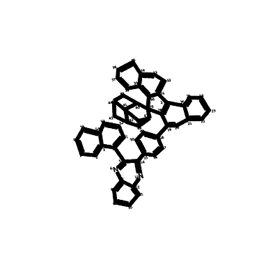 c1ccc2c(-c3nc4ccccc4nc3-c3ccc(-c4cc5ccccc5c5c4C4(c6c-5ccc5ccccc65)C5CC6CC(C5)CC4C6)cc3)cccc2c1